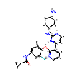 Cc1cc(NC(=O)C2CC2)cc(F)c1Oc1ncccc1-c1ccnc(N[C@H]2CC[C@H](N)CC2)n1